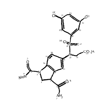 CNC(=O)N1CC(C(N)=O)c2cc(N(CC(=O)O)S(=O)(=O)c3cc(Cl)cc(Cl)c3)ccc21